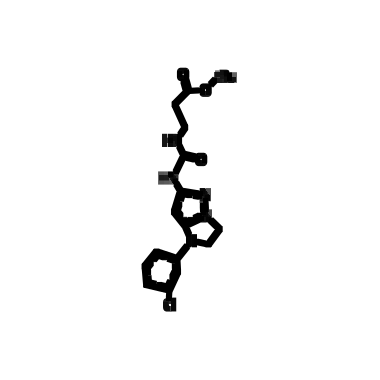 CC(C)(C)OC(=O)CCNC(=O)Nc1cc2n(n1)CCN2c1cccc(Cl)c1